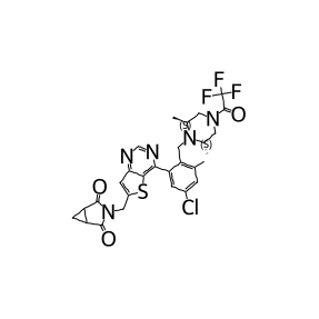 Cc1cc(Cl)cc(-c2ncnc3cc(CN4C(=O)C5CC5C4=O)sc23)c1CN1[C@@H](C)CN(C(=O)C(F)(F)F)C[C@@H]1C